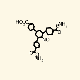 NOC(=O)C1=CCC(C2CC(C3=CC=C(C(=O)O)CC3)CC(C3=CCC(C(=O)ON)C=C3)C2N=O)CC1